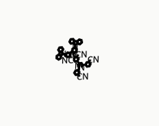 N#Cc1cccc(-c2cc(-c3cc(C#N)c(-n4c5ccc(-n6c7ccccc7c7ccccc76)cc5c5cc(-n6c7ccccc7c7ccccc76)ccc54)c(C#N)c3)nc(-c3cccc(C#N)c3)n2)c1